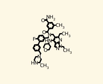 CCc1nc2c(cnn2CC)c(NC2CCOCC2)c1CN(Cc1ccc(F)c(-c2cccc(CN3CCN[C@@H](C)C3)c2)c1)C(=O)c1cc(C)cc(C(N)=O)c1